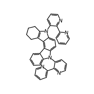 c1ccc(-c2ncccc2-n2c3c(c4c5c6ccccc6n(-c6cccnc6-c6ccccn6)c5ccc42)CCCC3)nc1